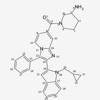 NC1CCCN(C(=O)c2ccn3c(-c4ccccc4)c(-c4cc5ccccc5n4CC4CC4)nc3c2)C1